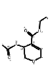 CCOC(=O)C1=CCOCC1SC(C)=O